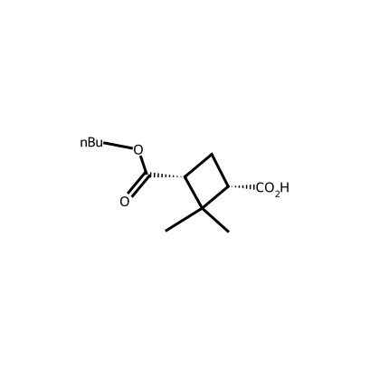 CCCCOC(=O)[C@@H]1C[C@H](C(=O)O)C1(C)C